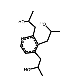 CC(O)Cc1ccnc(CC(C)O)c1CC(C)O